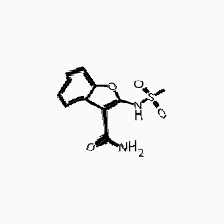 CS(=O)(=O)Nc1oc2ccccc2c1C(N)=O